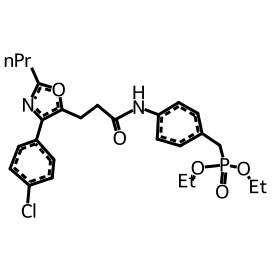 CCCc1nc(-c2ccc(Cl)cc2)c(CCC(=O)Nc2ccc(CP(=O)(OCC)OCC)cc2)o1